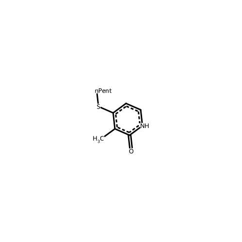 CCCCCSc1cc[nH]c(=O)c1C